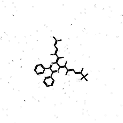 CCC(C)(C)/C(C)=C/C=C(C)/C(C)=c1\nc(-c2ccccc2)c(-c2ccccc2)n\c1=C(C)/C(C)=C/C=C(C)C